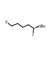 CCCC[C@@H](I)CCCCF